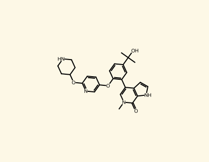 Cn1cc(-c2cc(C(C)(C)O)ccc2Oc2ccc(OC3CCNCC3)nc2)c2cc[nH]c2c1=O